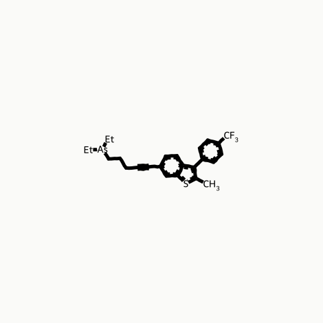 CC[As](CC)CCCC#Cc1ccc2c(-c3ccc(C(F)(F)F)cc3)c(C)sc2c1